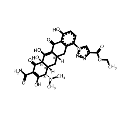 CCOC(=O)c1cn(-c2ccc(O)c3c2C[C@@H]2C[C@@H]4[C@H](N(C)C)C(O)=C(C(N)=O)C(=O)[C@]4(O)C(O)=C2C3=O)nn1